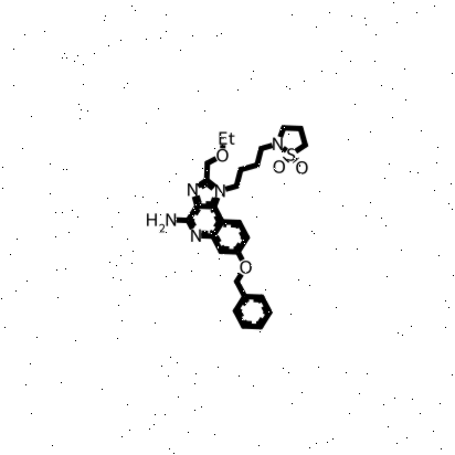 CCOCc1nc2c(N)nc3cc(OCc4ccccc4)ccc3c2n1CCCCN1CCCS1(=O)=O